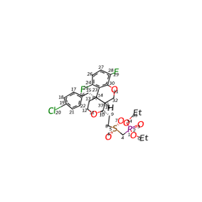 CCOP(=O)(CS(=O)(=O)CC[C@@H]1OCC[C@@]2(Cc3ccc(Cl)cc3)c3c(F)ccc(F)c3OC[C@@H]12)OCC